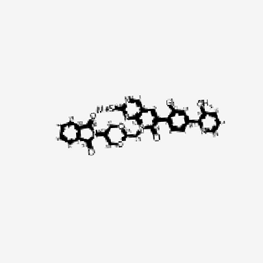 CSc1ncc2cc(-c3ccc(-c4ncccc4C)cc3Cl)c(=O)n(CC3OCC(N4C(=O)c5ccccc5C4=O)CO3)c2n1